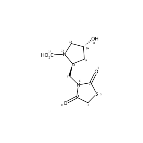 O=C1CSC(=O)N1C[C@@H]1C[C@@H](O)CN1C(=O)O